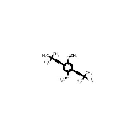 COc1cc(C#CC(C)(C)C)c(OC)cc1C#CC(C)(C)C